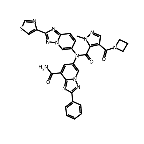 Cn1ncc(C(=O)N2CCC2)c1C(=O)N(c1ccc2nc(-c3cscn3)nn2c1)c1cc(C(N)=O)c2nc(-c3ccccc3)nn2c1